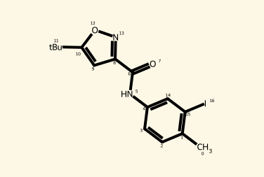 Cc1ccc(NC(=O)c2cc(C(C)(C)C)on2)cc1I